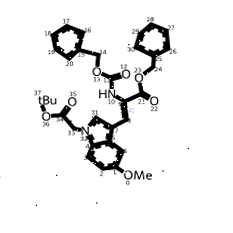 COc1ccc2c(c1)c(/C=C(\NC(=O)OCc1ccccc1)C(=O)OCc1ccccc1)cn2CC(=O)OC(C)(C)C